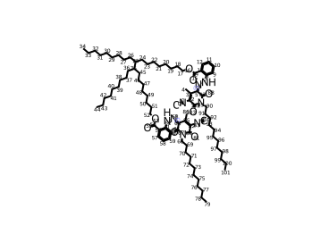 [C-]#[N+]C1=C(C)/C(=N/Nc2ccccc2C(=O)OCCCCCCCCC(CCCCCCCCC)C(CCCCCCCCC)CCCCCCCCOC(=O)c2ccccc2N/N=C2\C(=O)N(CCCCCCCCCCCC)C(=O)C([N+]#[C-])=C2C)C(=O)N(CCCCCCCCCCCC)C1=O